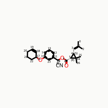 CC(C)=C[C@H]1[C@@H](C(=O)O[C@H](C#N)c2cccc(OC3C#CCCC3)c2)C1(C)C